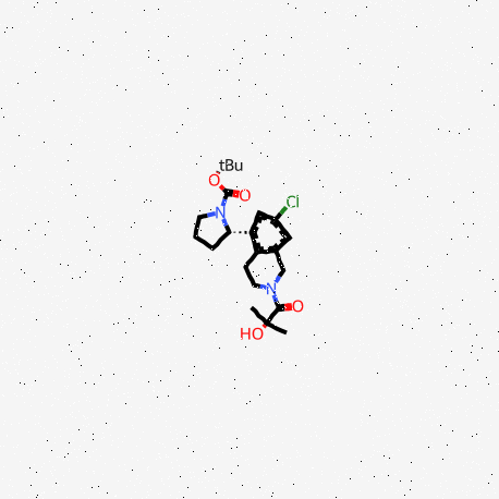 CC(C)(C)OC(=O)N1CCC[C@H]1c1cc(Cl)cc2c1CCN(C(=O)C(C)(C)O)C2